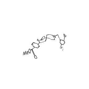 COC(=O)c1ccc(C2=NOC3(CCN(Cc4cc(C(F)(F)F)ccc4Br)CC3)C2)cc1